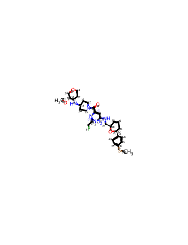 C=C(/C=C(\N=C(/N)CF)C(=O)N1CCC(N[C@H]2CCOC[C@H]2OC)CC1)NC[C@H]1CCC[C@@H](c2ccc(SC)cc2)O1